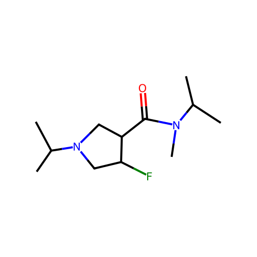 CC(C)N1CC(F)C(C(=O)N(C)C(C)C)C1